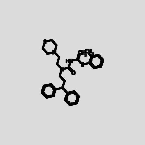 C=C(NC(=O)N(CCC(c1ccccc1)c1ccccc1)CCN1CCSCC1)Sc1ccccc1C